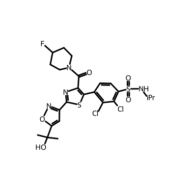 CC(C)NS(=O)(=O)c1ccc(-c2sc(-c3cc(C(C)(C)O)on3)nc2C(=O)N2CCC(F)CC2)c(Cl)c1Cl